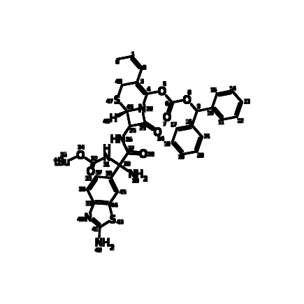 C/C=C\C1=C(OC(=O)OC(c2ccccc2)c2ccccc2)N2C(=O)C(NC(=O)C(N)(NC(=O)OC(C)(C)C)c3ccc4nc(N)sc4c3)[C@@H]2SC1